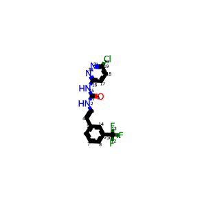 O=C(N/C=C/c1cccc(C(F)(F)F)c1)Nc1ccc(Cl)nn1